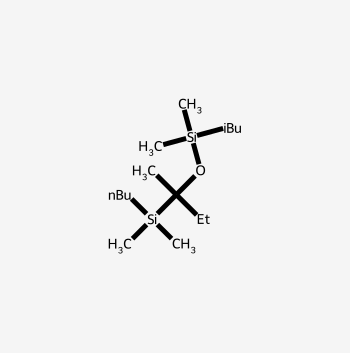 CCCC[Si](C)(C)C(C)(CC)O[Si](C)(C)C(C)CC